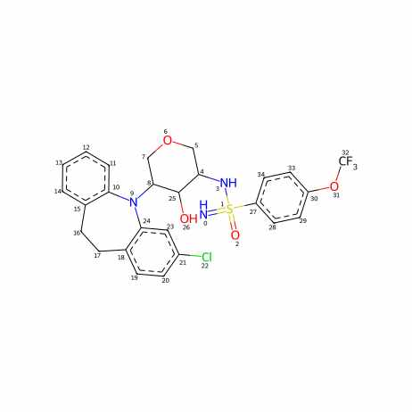 N=S(=O)(NC1COCC(N2c3ccccc3CCc3ccc(Cl)cc32)C1O)c1ccc(OC(F)(F)F)cc1